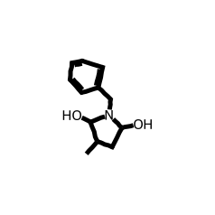 CC1CC(O)N(Cc2ccccc2)C1O